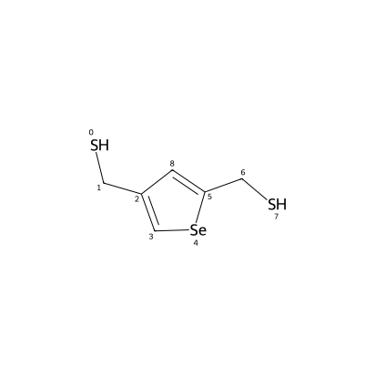 SCc1c[se]c(CS)c1